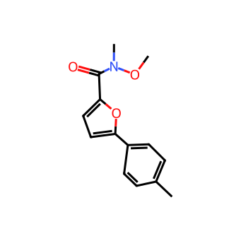 CON(C)C(=O)c1ccc(-c2ccc(C)cc2)o1